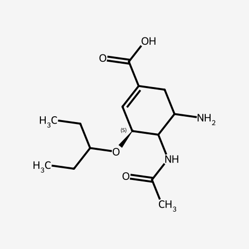 CCC(CC)O[C@H]1C=C(C(=O)O)CC(N)C1NC(C)=O